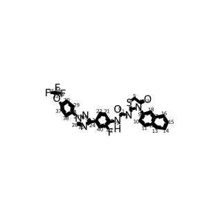 O=C(N=C1SCC(=O)N1c1ccc2ccccc2c1)Nc1ccc(-c2ncn(-c3ccc(OC(F)(F)F)cc3)n2)cc1F